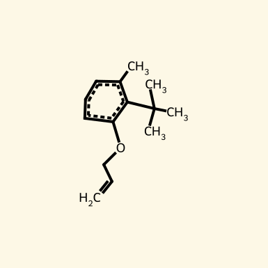 C=CCOc1cccc(C)c1C(C)(C)C